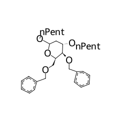 CCCCCOC1C[C@H](OCCCCC)[C@@H](OCc2ccccc2)[C@@H](COCc2ccccc2)O1